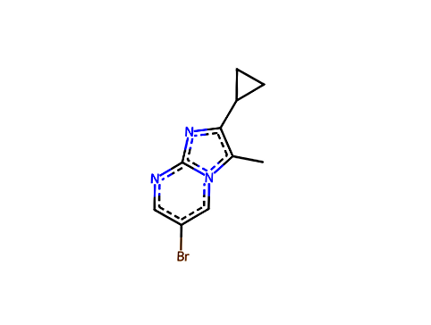 Cc1c(C2CC2)nc2ncc(Br)cn12